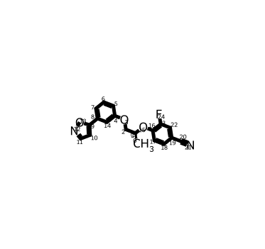 C[C@@H](COc1cccc(-c2ccno2)c1)Oc1ccc(C#N)cc1F